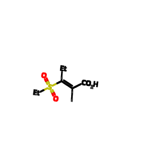 CC/C(=C(/C)C(=O)O)S(=O)(=O)CC